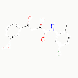 COc1cccc(C(=O)CC(=O)C(=O)Nc2cc(Cl)ccc2C)c1